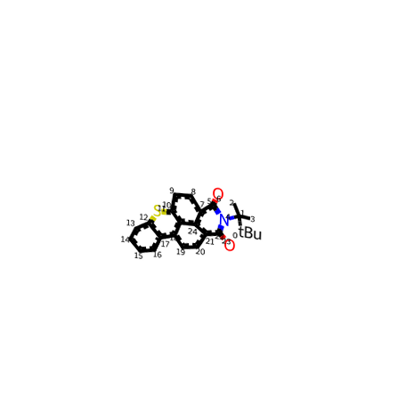 CC(C)(C)C(C)(C)n1c(=O)c2ccc3sc4ccccc4c4ccc(c1=O)c2c34